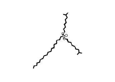 CCCCCCCCCCCCCCCCCCP(=O)(OCCCCCCCC(C)C)OCCCCCCCC(C)C